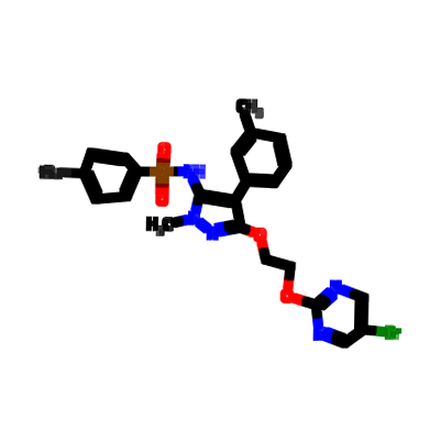 Cc1cccc(-c2c(OCCOc3ncc(Br)cn3)nn(C)c2NS(=O)(=O)c2ccc(C(C)(C)C)cc2)c1